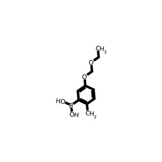 CCOCOc1ccc(C)c(B(O)O)c1